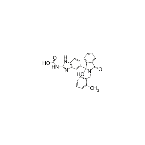 Cc1ccccc1CN1C(=O)c2ccccc2C1(O)c1ccc2[nH]c(NC(=O)O)nc2c1